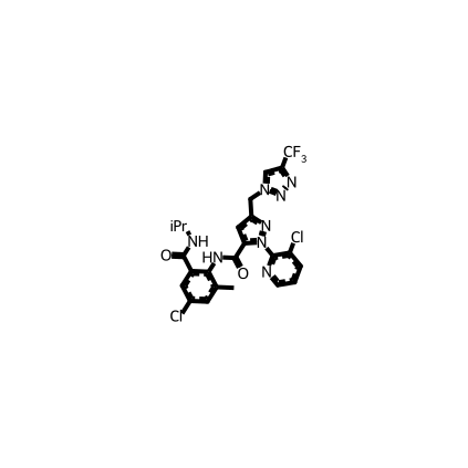 Cc1cc(Cl)cc(C(=O)NC(C)C)c1NC(=O)c1cc(Cn2cc(C(F)(F)F)nn2)nn1-c1ncccc1Cl